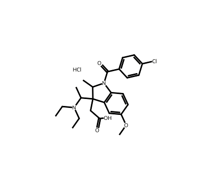 CCN(CC)C(C)C1(CC(=O)O)c2cc(OC)ccc2N(C(=O)c2ccc(Cl)cc2)C1C.Cl